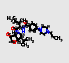 CCCN1CCN(c2ccc(C(=O)N[C@H](C(=O)N3C[C@@H](C(C)C)[C@H]4OCC(=O)[C@H]43)[C@@H](C)CC)cc2)CC1